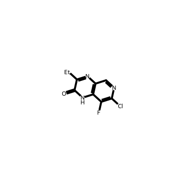 CCc1nc2cnc(Cl)c(F)c2[nH]c1=O